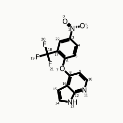 O=[N+]([O-])c1ccc(Oc2ccnc3[nH]ccc23)c(C(F)(F)F)c1